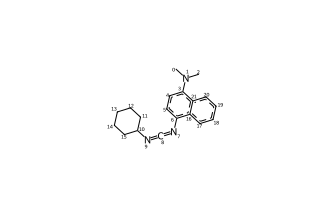 CN(C)c1ccc(N=C=NC2CCCCC2)c2ccccc12